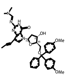 CC#Cc1cn([C@@H]2C[C@H](O)[C@@H](COC(c3ccccc3)(c3ccc(OC)cc3)c3ccc(OC)cc3)O2)c2c(=O)[nH]c(N=CN(C)C)nc12